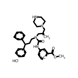 C=C(CN1CCNCC1)CN(CCC(c1ccccc1)c1ccccc1)C(=O)Nc1cccc(C(=O)OC)c1.Cl